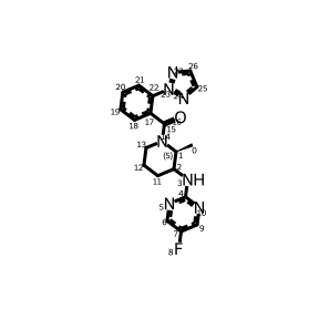 C[C@H]1C(Nc2ncc(F)cn2)CCCN1C(=O)c1ccccc1-n1nccn1